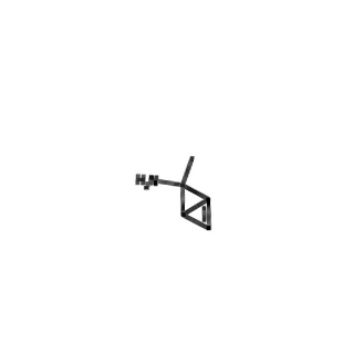 CC1(N)C2=CC21